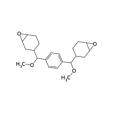 COC(c1ccc(C(OC)C2CCC3OC3C2)cc1)C1CCC2OC2C1